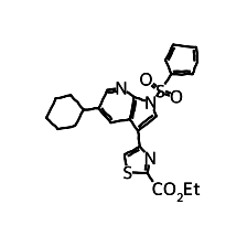 CCOC(=O)c1nc(-c2cn(S(=O)(=O)c3ccccc3)c3ncc(C4CCCCC4)cc23)cs1